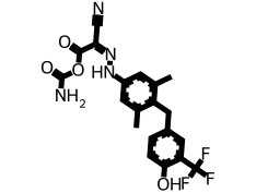 Cc1cc(NN=C(C#N)C(=O)OC(N)=O)cc(C)c1Cc1ccc(O)c(C(F)(F)F)c1